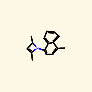 CC1=CC(C)N1c1ccc(C)c2ccccc12